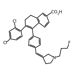 O=C(O)c1ccc2c(c1)CCC(c1ccc(Cl)cc1Cl)=C2c1ccc(C=C2CCN(CCCF)C2)cc1